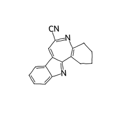 N#Cc1cc2c3ccccc3nc-2c2c(n1)CCCC2